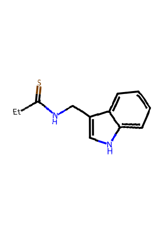 CCC(=S)NCc1c[nH]c2ccccc12